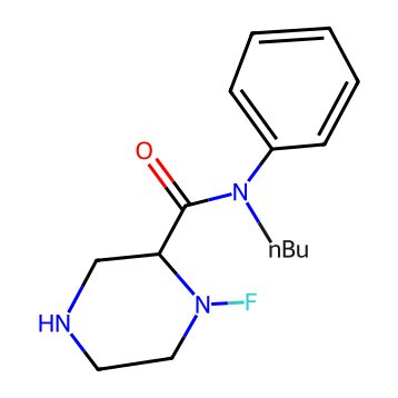 CCCCN(C(=O)C1CNCCN1F)c1ccccc1